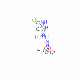 CN(C(=O)CCN1CCN(C(=O)OC(C)(C)C)CC1)c1ccc(N/C(=C2\C(=O)Nc3cc(Cl)ccc32)c2ccccc2)cc1